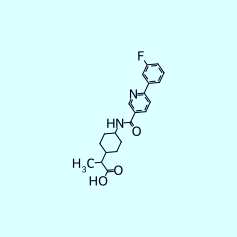 CC(C(=O)O)C1CCC(NC(=O)c2ccc(-c3cccc(F)c3)nc2)CC1